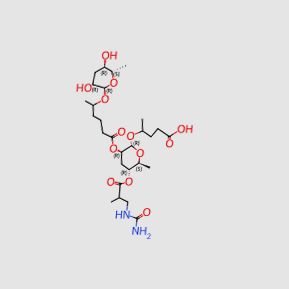 CC(CCCC(=O)O[C@@H]1C[C@@H](OC(=O)C(C)CNC(N)=O)[C@H](C)O[C@H]1OC(C)CCC(=O)O)O[C@@H]1O[C@@H](C)[C@H](O)C[C@H]1O